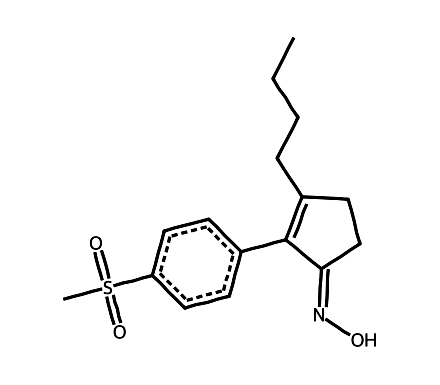 CCCCC1=C(c2ccc(S(C)(=O)=O)cc2)/C(=N/O)CC1